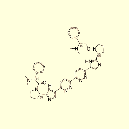 CN(C)[C@@H](CON1CCC[C@H]1c1ncc(-c2ccc(-c3ccc(-c4cnc([C@@H]5CCCN5C(=O)[C@@H](c5ccccc5)N(C)C)[nH]4)nn3)nn2)[nH]1)c1ccccc1